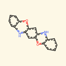 c1ccc2oc3cc4[nH]c5ccccc5oc4cc3[nH]c2c1